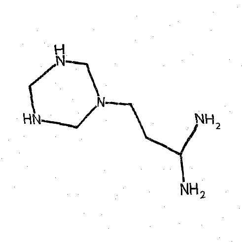 NC(N)CCN1CNCNC1